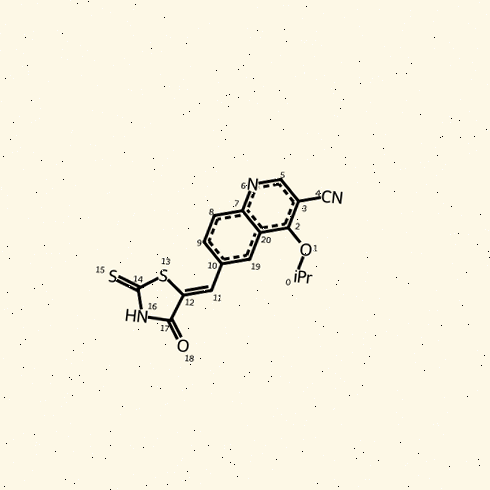 CC(C)Oc1c(C#N)cnc2ccc(/C=C3\SC(=S)NC3=O)cc12